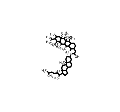 CC(C)CCCC(C)C1CCC2C3CCC4CC(OC(O)CC5CCC6C(C5C)C(C)C5C(C)C7(C)C(C)C(C(C)C)C(C)CC7(C)C(C)C5(C)C6C)CCC4(C)C3CCC12C